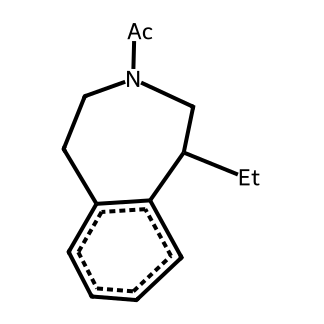 CCC1CN(C(C)=O)CCc2ccccc21